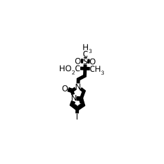 CC(CCN1Cc2cc(I)cn2C1=O)(C(=O)O)S(C)(=O)=O